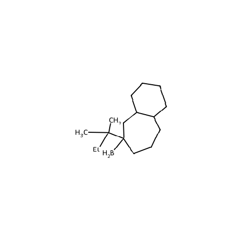 BC1(C(C)(C)CC)CCCC2CCCCC2C1